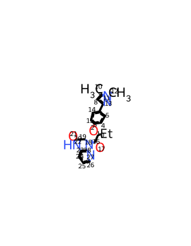 CCC(Oc1ccc(-c2cc(C)n(C)n2)cc1)C(=O)N1CC(=O)Nc2cccnc21